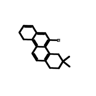 CC1(C)CCc2ccc3c4c(cc(Cl)c3c2C1)C=CCC4